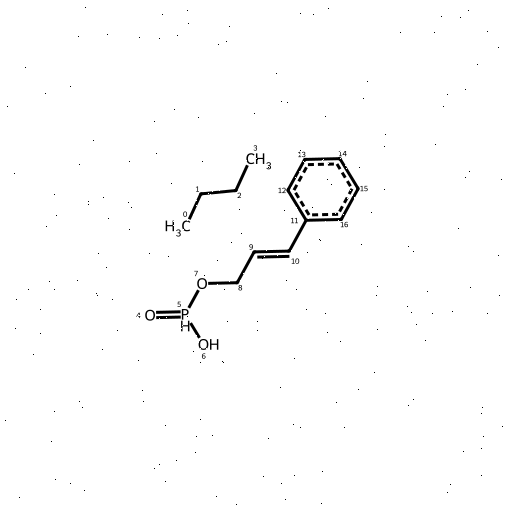 CCCC.O=[PH](O)OC/C=C/c1ccccc1